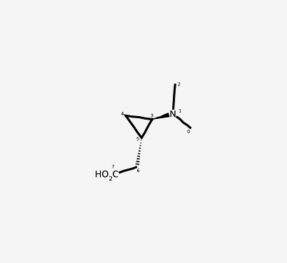 CN(C)[C@@H]1C[C@H]1CC(=O)O